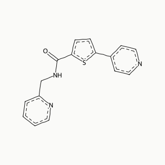 O=C(NCc1ccccn1)c1ccc(-c2ccncc2)s1